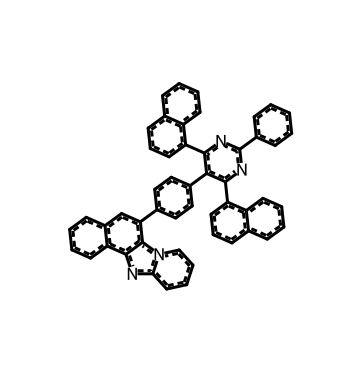 c1ccc(-c2nc(-c3cccc4ccccc34)c(-c3ccc(-c4cc5ccccc5c5nc6ccccn6c45)cc3)c(-c3cccc4ccccc34)n2)cc1